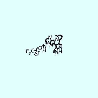 Cc1cccc(-c2cnc3[nH]ccc3c2-c2cc3nccc(NCOCC(C(F)(F)F)[Si](C)(C)C)n3n2)n1